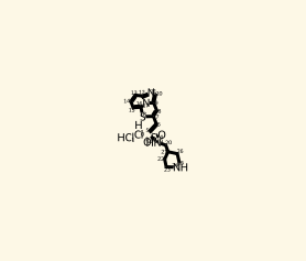 Cl.Cl.O=S(=O)(C=CC1=Cc2cnc3cccc(n23)S1)NCC1CCNCC1